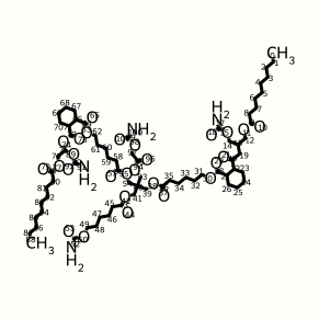 CCCCCCCCCC(=O)OCC(COC(N)=O)CC(=O)C1CCCCC1C(=O)OCCCCCC(=O)OCC(COC(=O)CCCCCOC(N)=O)(COC(=O)CCCCCOC(=O)C1CCCCC1C(=O)OC(COC(=O)CCCCCCCCC)OC(N)=O)COC(=O)COC(N)=O